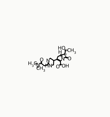 C[C@@H](O)[C@H]1C(=O)N2C(C(=O)O)=C(C3CN=C(CC(=O)N(C)C)NC3)C[C@H]12